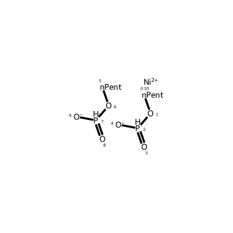 CCCCCO[PH](=O)[O-].CCCCCO[PH](=O)[O-].[Ni+2]